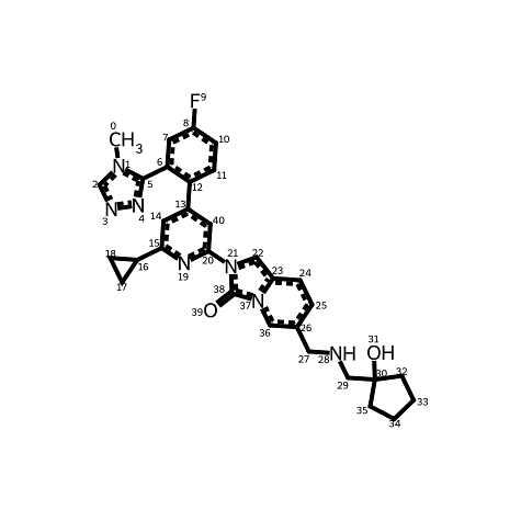 Cn1cnnc1-c1cc(F)ccc1-c1cc(C2CC2)nc(-n2cc3ccc(CNCC4(O)CCCC4)cn3c2=O)c1